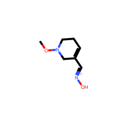 CON1CCC=C(/C=N/O)C1